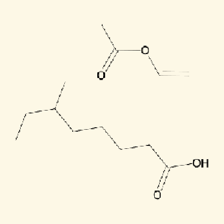 C=COC(C)=O.CCC(C)CCCCC(=O)O